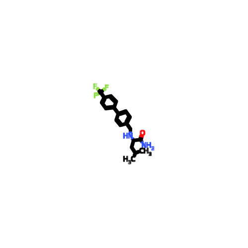 CC(C)CC(NCc1ccc(-c2ccc(C(F)(F)F)cc2)cc1)C(N)=O